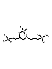 CC[Si](CC)(CC)OCC(COCCC[Si](C)(Cl)Cl)O[Si](CC)(CC)CC